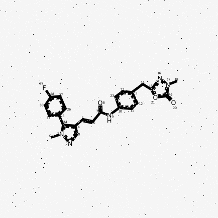 Cn1ncc(/C=C/C(=O)Nc2ccc(Cc3nn(C)c(=O)o3)cc2)c1-c1ccc(F)cc1